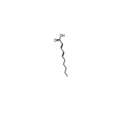 CCCCCC=C/C=C/C(=O)O